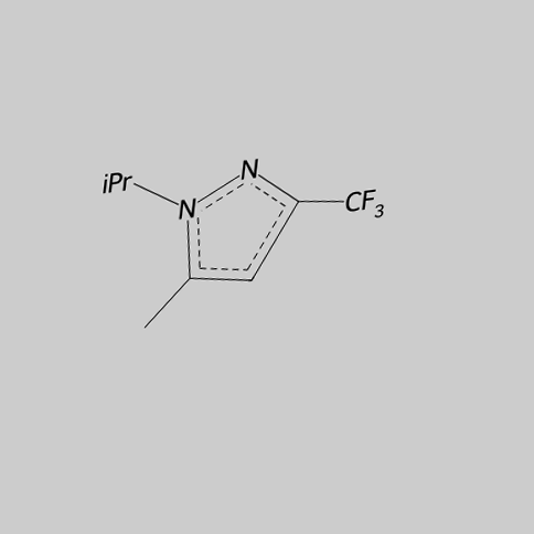 Cc1cc(C(F)(F)F)nn1C(C)C